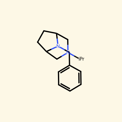 CC(C)N1CC2CCC(C1)N2Cc1ccccc1